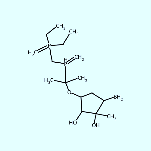 BC1CC(OC(C)(C)[PH](=C)CP(=C)(CC)CC)C(O)C1(C)O